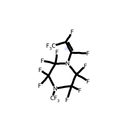 F/C(=C(\F)C(F)(F)F)N1C(F)(F)C(F)(F)N(C(F)(F)F)C(F)(F)C1(F)F